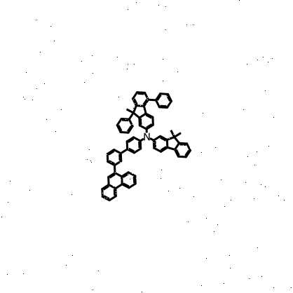 CC1(C)c2ccccc2-c2ccc(N(c3ccc(-c4cccc(-c5cc6ccccc6c6ccccc56)c4)cc3)c3ccc4c(c3)C(C)(c3ccccc3)c3cccc(-c5ccccc5)c3-4)cc21